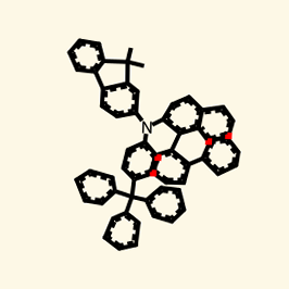 CC1(C)c2ccccc2-c2ccc(N(c3ccc(C(c4ccccc4)(c4ccccc4)c4ccccc4)cc3)c3ccc4ccccc4c3-c3ccccc3-c3ccccc3)cc21